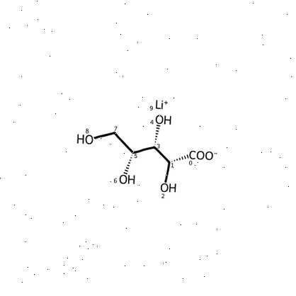 O=C([O-])[C@H](O)[C@@H](O)[C@H](O)CO.[Li+]